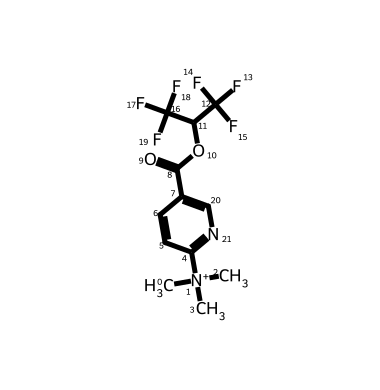 C[N+](C)(C)c1ccc(C(=O)OC(C(F)(F)F)C(F)(F)F)cn1